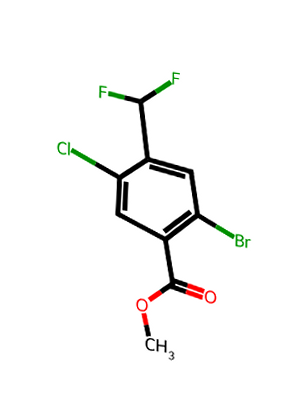 COC(=O)c1cc(Cl)c(C(F)F)cc1Br